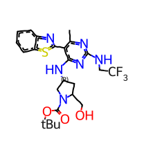 Cc1nc(NCC(F)(F)F)nc(N[C@@H]2CC(CO)N(C(=O)OC(C)(C)C)C2)c1-c1nc2ccccc2s1